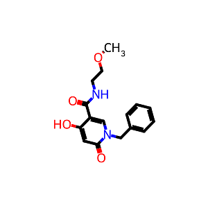 COCCNC(=O)c1cn(Cc2ccccc2)c(=O)cc1O